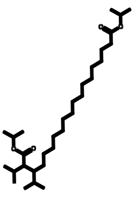 CC(C)OC(=O)CCCCCCCCCCCCCCCC(C(C)C)C(C(=O)OC(C)C)C(C)C